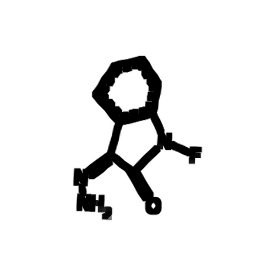 NN=C1C(=O)N(F)c2ccccc21